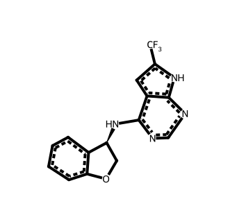 FC(F)(F)c1cc2c(N[C@H]3COc4ccccc43)ncnc2[nH]1